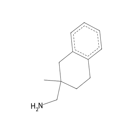 CC1(CN)CCc2ccccc2C1